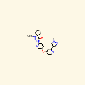 Cn1cc(-c2cc(Oc3ccc(NC(=O)C4(NC=O)CCCC4)nc3)ccn2)cn1